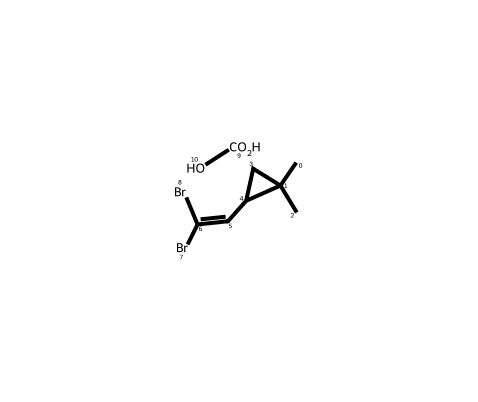 CC1(C)CC1C=C(Br)Br.O=C(O)O